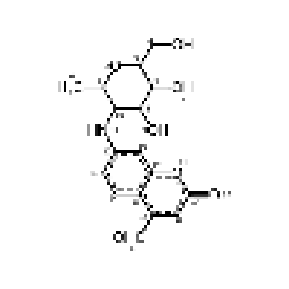 CC1OC(CO)C(O)C(O)C1Nc1ccc2c(C=O)cc(=O)oc2c1